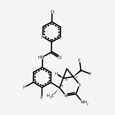 C[C@@]1(c2cc(NC(=O)c3ccc(Cl)cn3)cc(F)c2F)N=C(N)S[C@@]2(C(F)F)C[C@@H]12